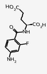 Nc1ccc(C(=O)N[C@@H](CCC(=O)O)C(=O)O)c(F)c1